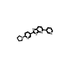 c1cncc(-c2ccc3nc(-c4ccc(N5CCCC5)nc4)sc3n2)c1